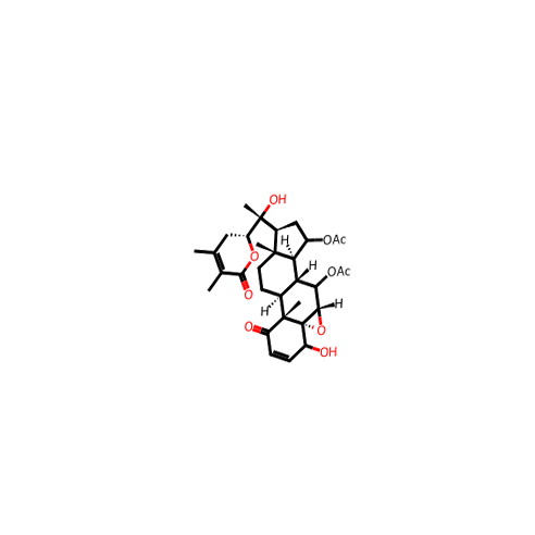 CC(=O)OC1C[C@H]([C@@](C)(O)[C@H]2CC(C)=C(C)C(=O)O2)[C@@]2(C)CC[C@H]3[C@@H](C(OC(C)=O)[C@@H]4O[C@@]45C(O)C=CC(=O)[C@]35C)[C@H]12